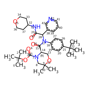 CC(C)(C)OC(=O)N1CC(C)(C)OC[C@@H]1C(=O)N(c1ccc(C(C)(C)C)cc1)C(C(=O)NC1CCOCC1)c1cccnc1